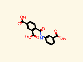 O=C(O)c1cccc(NC(=O)c2ccc(C(=O)O)cc2C(=O)O)c1